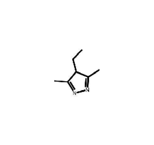 CCC1C(C)=NN=C1C